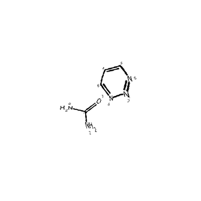 NC(N)=O.c1cnnnc1